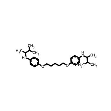 CC(C)C(C)Nc1ccc(OCCCCCOc2ccc(NC(C)C(C)C)cc2)cc1